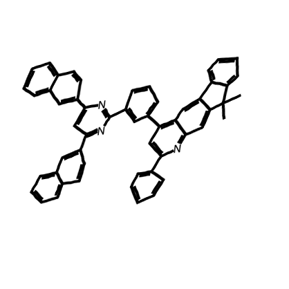 CC1(C)c2ccccc2-c2cc3c(-c4cccc(-c5nc(-c6ccc7ccccc7c6)cc(-c6ccc7ccccc7c6)n5)c4)cc(-c4ccccc4)nc3cc21